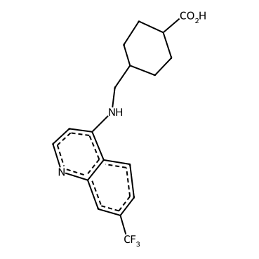 O=C(O)C1CCC(CNc2ccnc3cc(C(F)(F)F)ccc23)CC1